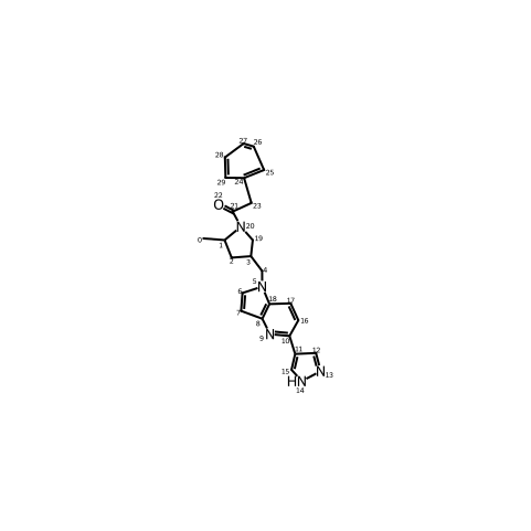 CC1CC(Cn2ccc3nc(-c4cn[nH]c4)ccc32)CN1C(=O)Cc1ccccc1